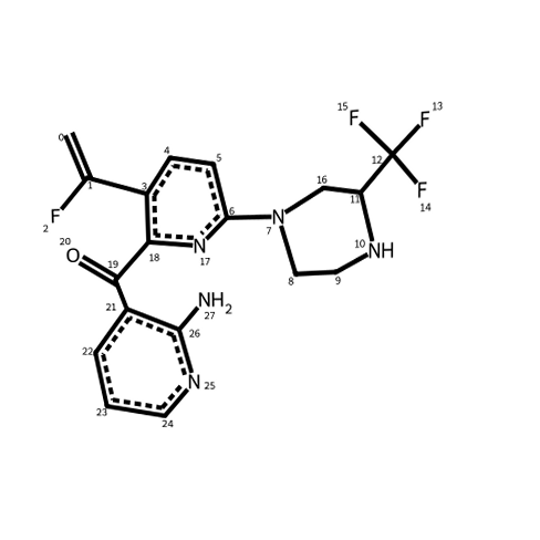 C=C(F)c1ccc(N2CCNC(C(F)(F)F)C2)nc1C(=O)c1cccnc1N